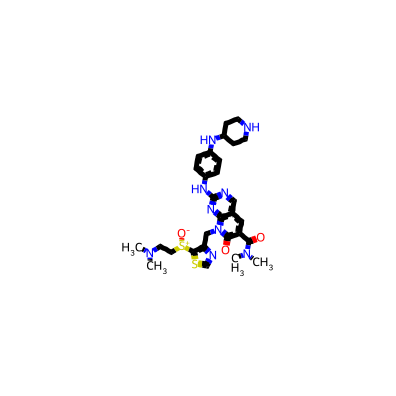 CN(C)CC[S+]([O-])c1scnc1Cn1c(=O)c(C(=O)N(C)C)cc2cnc(Nc3ccc(NC4CCNCC4)cc3)nc21